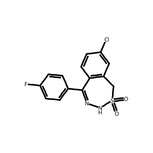 O=S1(=O)Cc2cc(Cl)ccc2C(c2ccc(F)cc2)=NN1